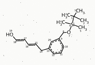 CC(C)(C)[Si](C)(C)OCc1cccc(CC=CC=CO)c1